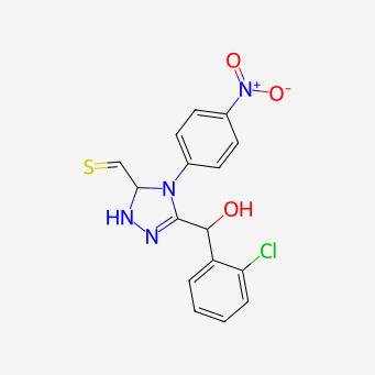 O=[N+]([O-])c1ccc(N2C(C(O)c3ccccc3Cl)=NNC2C=S)cc1